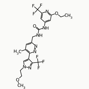 CCOc1cc(NC(=O)NCc2cc(C)c(-c3cn(CCOC)nc3C(F)(F)F)nn2)cc(C(F)(F)F)n1